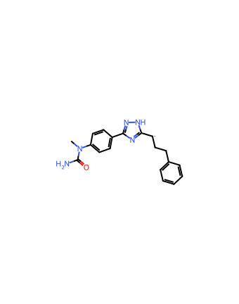 CN(C(N)=O)c1ccc(-c2n[nH]c([CH]CCc3ccccc3)n2)cc1